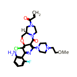 C=CC(=O)N1CCN2C(=O)c3c(N4CCN(CCOC)CC4)nc(-c4c(N)cccc4F)c(Cl)c3OC[C@H]2C1